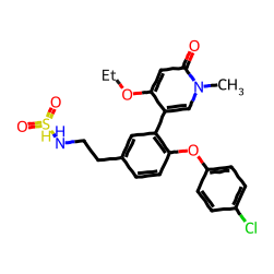 CCOc1cc(=O)n(C)cc1-c1cc(CCN[SH](=O)=O)ccc1Oc1ccc(Cl)cc1